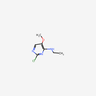 CCNc1nc(Cl)ncc1OC